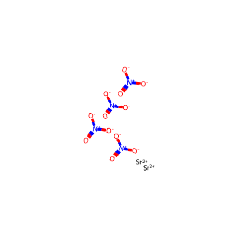 O=[N+]([O-])[O-].O=[N+]([O-])[O-].O=[N+]([O-])[O-].O=[N+]([O-])[O-].[Sr+2].[Sr+2]